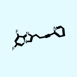 Fc1cc(F)c2nc(CCC#Cc3ccccn3)cn2c1